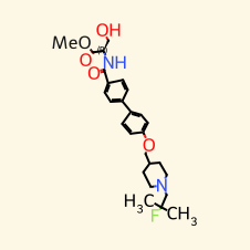 COC(=O)[C@@H](CO)NC(=O)c1ccc(-c2ccc(OCC3CCN(CC(C)(C)F)CC3)cc2)cc1